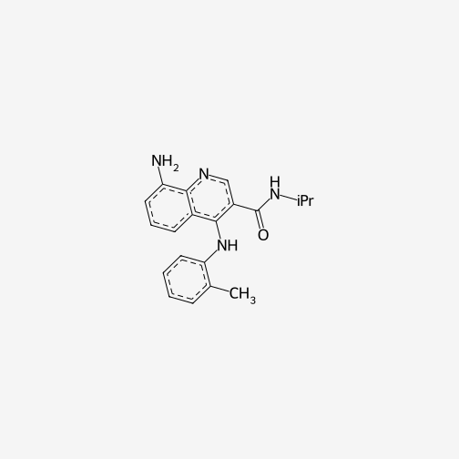 Cc1ccccc1Nc1c(C(=O)NC(C)C)cnc2c(N)cccc12